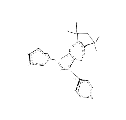 CC1(C)CC(C)(C)c2nc3c(nc21)n(-c1ccccc1)c[n+]3-c1ccccc1